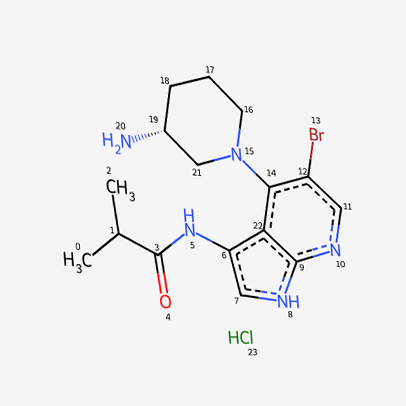 CC(C)C(=O)Nc1c[nH]c2ncc(Br)c(N3CCC[C@@H](N)C3)c12.Cl